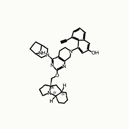 C#Cc1cccc2cc(O)cc(N3CCc4c(nc(OC[C@]56CCCN5[C@H]5CCCC[C@H]5C6)nc4N4CC5CCC(C4)N5)C3)c12